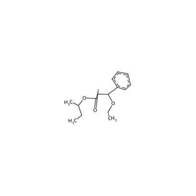 CCOC(CC(=O)OC(C)CC)c1ccccc1